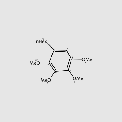 CCCCCCc1cc(OC)c(OC)c(OC)c1OC